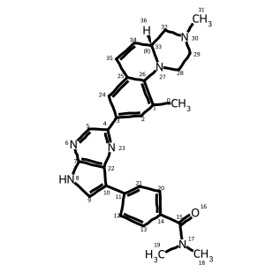 Cc1cc(-c2cnc3[nH]cc(-c4ccc(C(=O)N(C)C)cc4)c3n2)cc2c1N1CCN(C)C[C@H]1C=C2